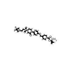 CC1(OC(=O)N2CCC(COc3cnc(N4CCN(S(=O)(=O)CCN5CC(F)(F)C5)CC4=O)cn3)CC2)CC1